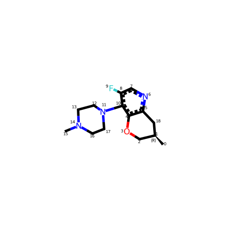 C[C@H]1COc2c(ncc(F)c2N2CCN(C)CC2)C1